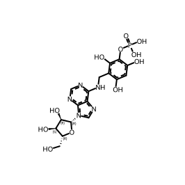 O=P(O)(O)Oc1c(O)cc(O)c(CNc2ncnc3c2ncn3[C@@H]2O[C@H](CO)[C@@H](O)[C@H]2O)c1O